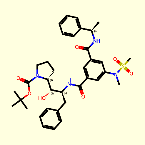 C[C@@H](NC(=O)c1cc(C(=O)N[C@@H](Cc2ccccc2)[C@H](O)[C@H]2CCCN2C(=O)OC(C)(C)C)cc(N(C)S(C)(=O)=O)c1)c1ccccc1